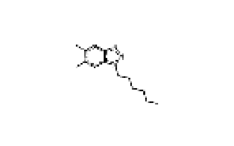 CCCCCCn1nnc2cc(C)c(C)cc21